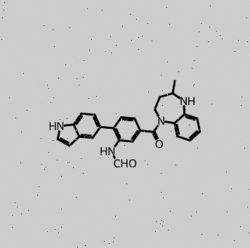 CC1CCN(C(=O)c2ccc(-c3ccc4[nH]ccc4c3)c(NC=O)c2)c2ccccc2N1